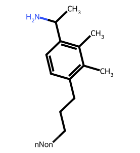 CCCCCCCCCCCCc1ccc(C(C)N)c(C)c1C